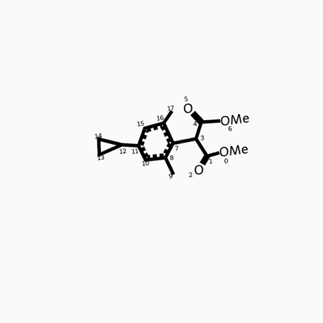 COC(=O)C(C(=O)OC)c1c(C)cc(C2CC2)cc1C